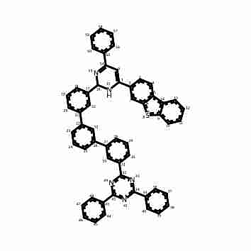 C1=C(c2ccc3c(c2)sc2ccccc23)NC(c2cccc(-c3cccc(-c4cccc(-c5nc(-c6ccccc6)nc(-c6ccccc6)n5)c4)c3)c2)N=C1c1ccccc1